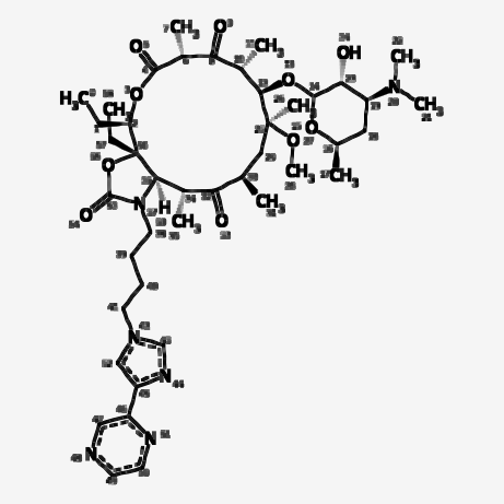 CC[C@H]1OC(=O)[C@H](C)C(=O)[C@H](C)[C@@H](OC2O[C@H](C)C[C@H](N(C)C)[C@H]2O)[C@@](C)(OC)C[C@@H](C)C(=O)[C@H](C)[C@H]2N(CCCCn3cnc(-c4cnccn4)c3)C(=O)O[C@]12CC